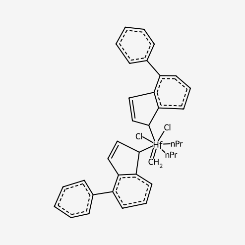 [CH2]=[Hf]([Cl])([Cl])([CH2]CC)([CH2]CC)([CH]1C=Cc2c(-c3ccccc3)cccc21)[CH]1C=Cc2c(-c3ccccc3)cccc21